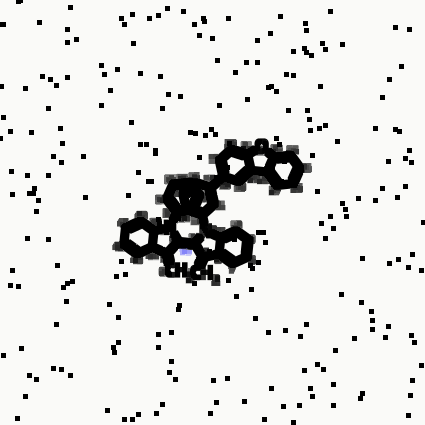 C=C1/C(=c2\c(=C)c3ccccc3n2-c2cccc(-c3ccc4oc5ccccc5c4c3)c2)N(c2ccccc2)C2C=CC=CC12